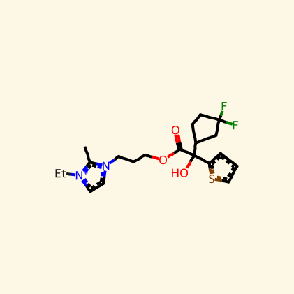 CC[n+]1ccn(CCCOC(=O)C(O)(c2cccs2)C2CCC(F)(F)C2)c1C